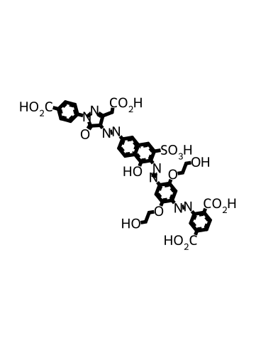 O=C(O)CC1=NN(c2ccc(C(=O)O)cc2)C(=O)C1/N=N/c1ccc2c(O)c(/N=N/c3cc(OCCO)c(/N=N/c4cc(C(=O)O)ccc4C(=O)O)cc3OCCO)c(S(=O)(=O)O)cc2c1